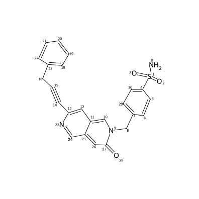 NS(=O)(=O)c1ccc(Cn2cc3cc(C#CCc4ccccc4)ncc3cc2=O)cc1